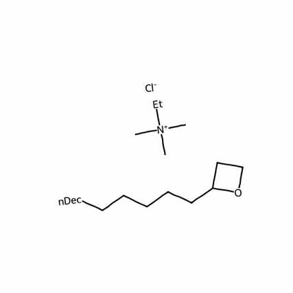 CCCCCCCCCCCCCCCC1CCO1.CC[N+](C)(C)C.[Cl-]